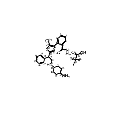 NC(=O)c1ccccc1-c1cc(C(CNC2CCC(N)CC2)c2ccccc2)sc1Cl.O=C(O)C(F)(F)F